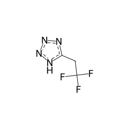 FC(F)(F)Cc1nnn[nH]1